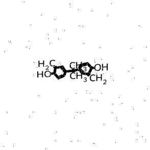 C=C1C=C(C(C)(C)C2=CC(=C)C(O)C=C2)C=CC1O